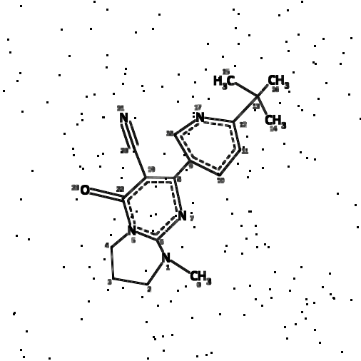 CN1CCCn2c1nc(-c1ccc(C(C)(C)C)nc1)c(C#N)c2=O